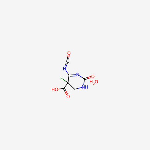 O.O=C=NC1=NC(=O)NCC1(F)C(=O)O